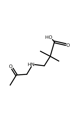 CC(=O)CNCC(C)(C)C(=O)O